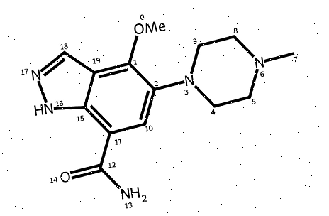 COc1c(N2CCN(C)CC2)cc(C(N)=O)c2[nH]ncc12